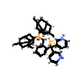 CC12CC3CC(C)(C1)CC(P(Cc1ccccc1C(P)(c1cccnc1)c1cccnc1)C14CC5CC(C)(CC(C)(C5)C1)C4)(C3)C2